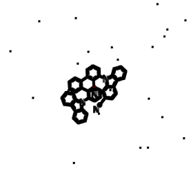 N#Cc1ccc2c3ccccc3n(-c3cccc(-c4ccccc4-c4ccccc4-n4c5ccccc5c5ccccc54)c3C#N)c2c1